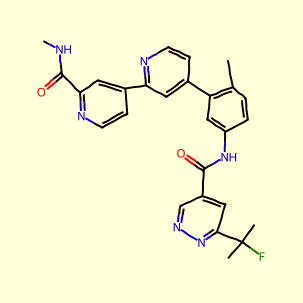 CNC(=O)c1cc(-c2cc(-c3cc(NC(=O)c4cnnc(C(C)(C)F)c4)ccc3C)ccn2)ccn1